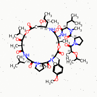 CC[C@H](C)[C@@H]1NC(=O)[C@@H](NC(=O)[C@@H](CC(C)C)N(C)C(=O)[C@@H]2CCCN2C(=O)[C@H](C)OC(C)C)[C@@H](C)OC(=O)[C@H](Cc2ccc(OC)cc2)N(C)C(=O)[C@@H]2CCCN2C(=O)[C@H](CC(C)C)NC(=O)[C@@H](C)C(=O)[C@H](C(C)C)OC(=O)C[C@@H]1O